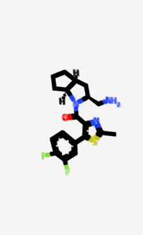 Cc1nc(C(=O)N2[C@H](CN)C[C@@H]3CCC[C@@H]32)c(-c2ccc(F)c(F)c2)s1